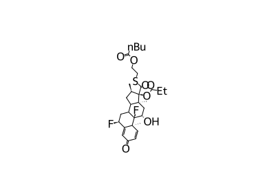 CCCCC(=O)OCCSC(=O)[C@@]1(OC(=O)CC)[C@H](C)CC2C3C[C@H](F)C4=CC(=O)C=C[C@]4(C)[C@@]3(F)[C@@H](O)C[C@@]21C